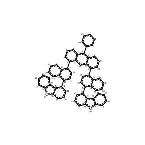 c1ccc(-c2c3cccc(-c4ccc(-c5cccc6oc7ccccc7c56)c5ccccc45)c3cc3c(-c4ccc(-c5cccc6oc7ccccc7c56)c5ccccc45)cccc23)cc1